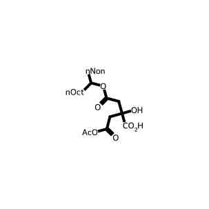 CCCCCCCCCC(CCCCCCCC)OC(=O)CC(O)(CC(=O)OC(C)=O)C(=O)O